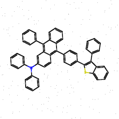 c1ccc(-c2c(-c3ccc(-c4c5ccccc5c(-c5ccccc5)c5cc(N(c6ccccc6)c6ccccc6)ccc45)cc3)sc3ccccc23)cc1